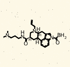 BC(=O)n1cc2c3c(cccc31)[C@H]1C[C@@H](C(=O)NCCCN(C)C)CN(CC=C)[C@@H]1C2